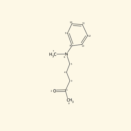 CC(=O)CCCN(C)c1ccccc1